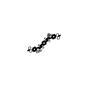 CC(=O)Oc1ccc(-c2sc3c(sc4cc5c(cc43)sc3c(Br)c(-c4ccc(OC(C)=O)cc4Br)sc35)c2Br)c(Br)c1